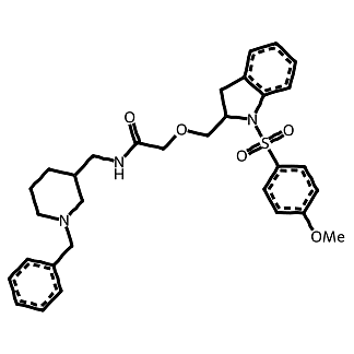 COc1ccc(S(=O)(=O)N2c3ccccc3CC2COCC(=O)NCC2CCCN(Cc3ccccc3)C2)cc1